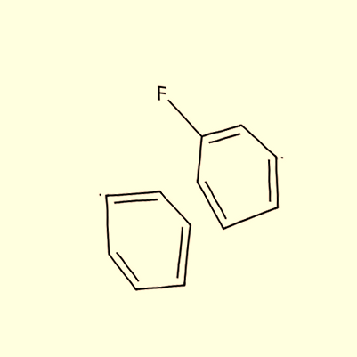 Fc1c[c]ccc1.[c]1ccccc1